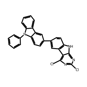 Clc1nc(Cl)c2c(n1)[nH]c1ccc(-c3ccc4c(c3)c3ccccc3n4-c3ccccc3)cc12